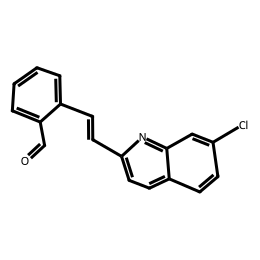 O=Cc1ccccc1C=Cc1ccc2ccc(Cl)cc2n1